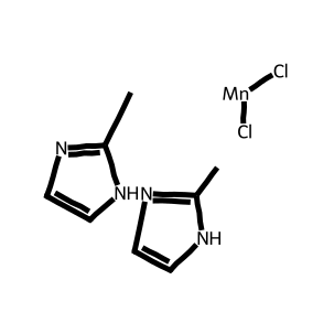 Cc1ncc[nH]1.Cc1ncc[nH]1.[Cl][Mn][Cl]